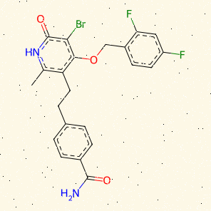 Cc1[nH]c(=O)c(Br)c(OCc2ccc(F)cc2F)c1CCc1ccc(C(N)=O)cc1